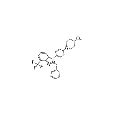 COC1CCN(c2ccc(-c3c4cccc(C(F)(F)F)c4nn3Cc3ccccc3)cc2)CC1